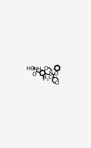 CC1(C(=O)N2Cc3c(F)cc(C(=O)NO)cc3OC[C@@H]2c2ccccc2)CCOCC1